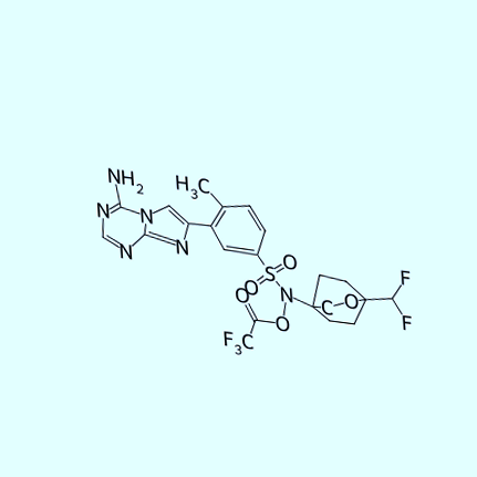 Cc1ccc(S(=O)(=O)N(OC(=O)C(F)(F)F)C23CCC(C(F)F)(CC2)OC3)cc1-c1cn2c(N)ncnc2n1